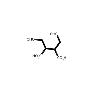 O=CCC(C(=O)O)C(CC=O)C(=O)O